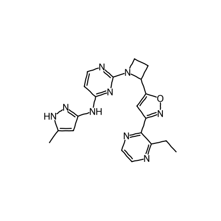 CCc1nccnc1-c1cc(C2CCN2c2nccc(Nc3cc(C)[nH]n3)n2)on1